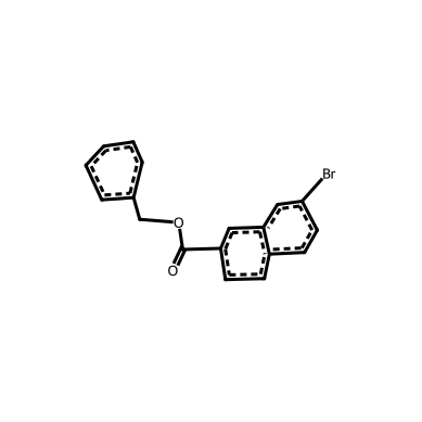 O=C(OCc1ccccc1)c1ccc2ccc(Br)cc2c1